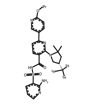 [2H]C([2H])([2H])[C@@H]1CN(c2nc(-c3ccc(OC(C)C)nc3)ccc2C(=O)NS(=O)(=O)c2cccnc2N)C(C)(C)C1